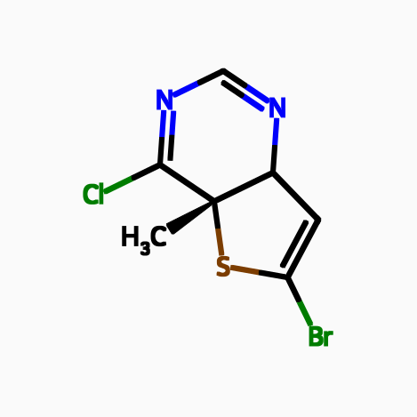 C[C@]12SC(Br)=CC1N=CN=C2Cl